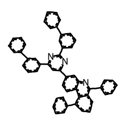 c1ccc(-c2cccc(-c3cc(-c4ccc5c(c4)nc(-c4ccccc4)c4cccc(-c6ccccc6)c45)nc(-c4cccc(-c5ccccc5)c4)n3)c2)cc1